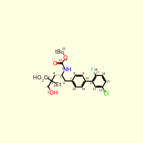 CCC(CO)(C[C@@H](Cc1ccc(-c2cc(Cl)ccc2F)cc1)NC(=O)OC(C)(C)C)C(=O)O